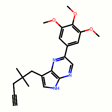 C#CCC(C)(C)Cc1c[nH]c2ncc(-c3cc(OC)c(OC)c(OC)c3)nc12